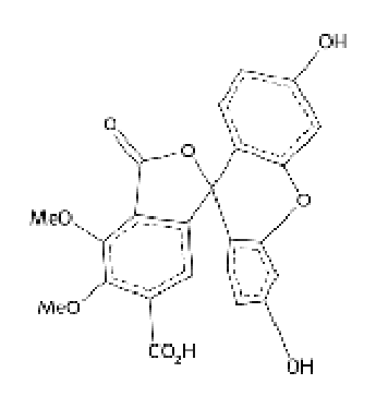 COc1c(C(=O)O)cc2c(c1OC)C(=O)OC21c2ccc(O)cc2Oc2cc(O)ccc21